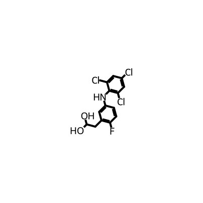 OC(O)Cc1cc(Nc2c(Cl)cc(Cl)cc2Cl)ccc1F